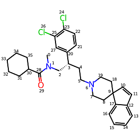 CN(C[C@@H](CCN1CCC2(C=Cc3ccccc32)CC1)c1ccc(Cl)c(Cl)c1)C(=O)C1CCCCC1